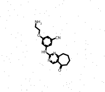 N#Cc1cc(Nc2ncc3c(n2)CCCCC3=O)cc(OCCN)c1